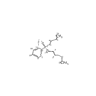 CCCCOP(=O)(CCCC)c1ccccc1F